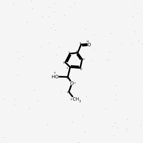 CCOC(O)c1ccc(C=O)cc1